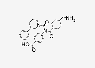 NCC1CCC(C(=O)N(C(=O)N2CCCC(c3ccccc3)C2)c2ccc(C(=O)O)cc2)CC1